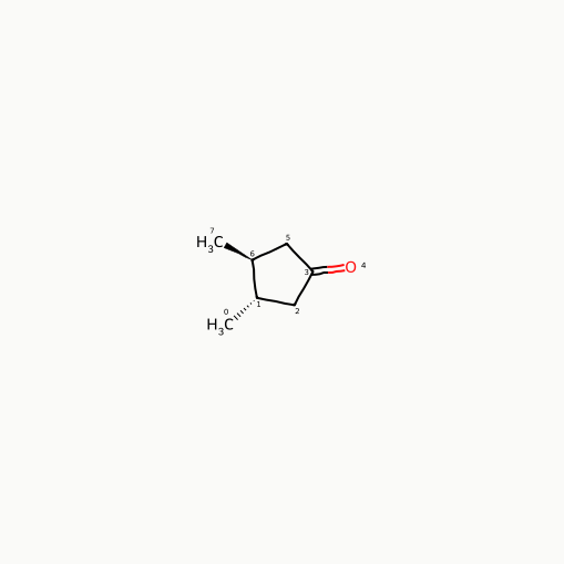 C[C@H]1CC(=O)C[C@@H]1C